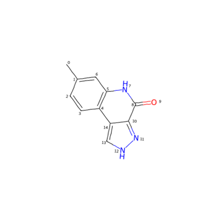 Cc1ccc2c(c1)[nH]c(=O)c1n[nH]cc12